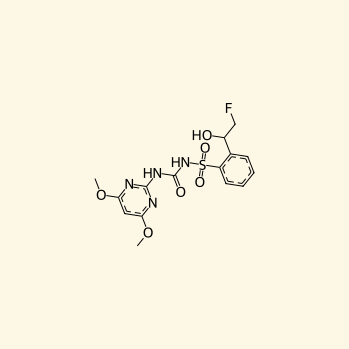 COc1cc(OC)nc(NC(=O)NS(=O)(=O)c2ccccc2C(O)CF)n1